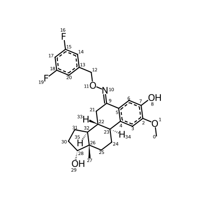 COc1cc2c(cc1O)C(=NOCc1cc(F)cc(F)c1)C[C@@H]1[C@@H]2CC[C@]2(C)[C@H](O)CC[C@@H]12